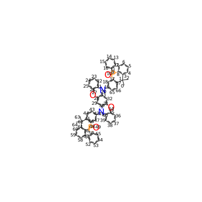 CC1(C)c2ccccc2P(=O)(c2ccccc2)c2cc(-n3c4ccccc4oc4cc5c(cc43)oc3ccccc3n5-c3ccc4c(c3)P(=O)(c3ccccc3)c3ccccc3C4(C)C)ccc21